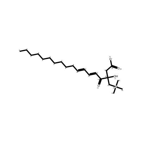 CCCCCCCCCCC=CC=CC(=O)C(O)(CC(=O)[O-])C[N+](C)(C)C